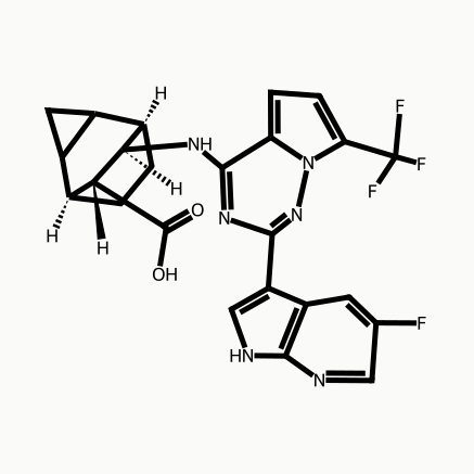 O=C(O)[C@H]1[C@H](Nc2nc(-c3c[nH]c4ncc(F)cc34)nn3c(C(F)(F)F)ccc23)[C@@H]2CC[C@H]1C1CC12